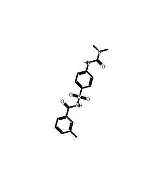 Cc1cccc(C(=O)NS(=O)(=O)c2ccc(NC(=O)N(C)C)cc2)c1